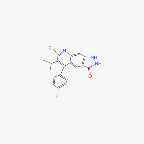 CC(C)c1c(Cl)nc2cc3[nH][nH]c(=O)c3cc2c1-c1ccc(F)cc1